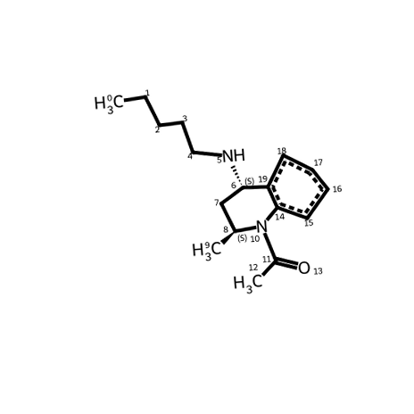 CCCCCN[C@H]1C[C@H](C)N(C(C)=O)c2ccccc21